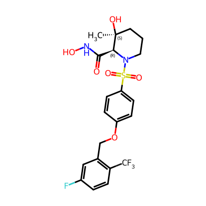 C[C@]1(O)CCCN(S(=O)(=O)c2ccc(OCc3cc(F)ccc3C(F)(F)F)cc2)[C@H]1C(=O)NO